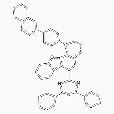 c1ccc(-c2nc(-c3ccccc3)nc(-c3cc4cccc(-c5ccc(-c6ccc7ccccc7c6)cc5)c4c4oc5ccccc5c34)n2)cc1